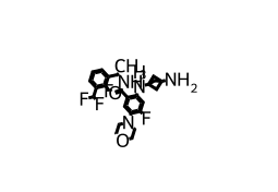 C[C@@H](NC(=O)c1cc(N2CCOCC2)c(F)cc1NC12CC(N)(C1)C2)c1cccc(C(F)F)c1F